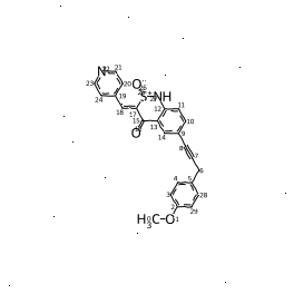 COc1ccc(CC#Cc2ccc3c(c2)C(=O)/C(=C/c2ccncc2)[S+]([O-])N3)cc1